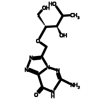 CC(O)[C@H](O)[C@@H](CO)OCc1nnc2c(=O)[nH]c(N)nn12